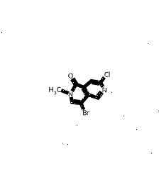 Cn1cc(Br)c2cnc(Cl)cc2c1=O